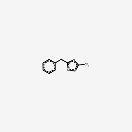 FC(F)(F)c1nc([CH]c2ccccc2)no1